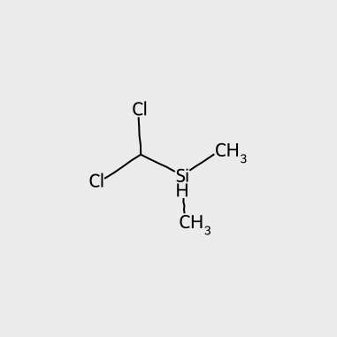 C[SiH](C)C(Cl)Cl